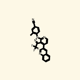 Cc1cc(C#N)ccc1-n1nc(C(F)(F)F)c2c(-c3cnc4ccccc4c3)ccnc21